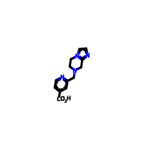 O=C(O)c1ccnc(CN2CCn3ccnc3C2)c1